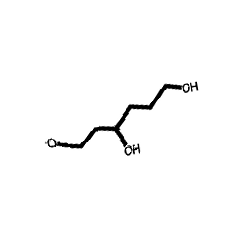 [O]CCC(O)CCCO